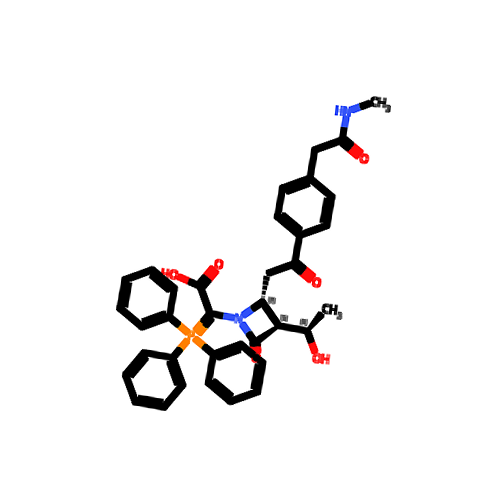 CNC(=O)Cc1ccc(C(=O)C[C@@H]2[C@@H]([C@@H](C)O)C(=O)N2C(C(=O)O)=P(c2ccccc2)(c2ccccc2)c2ccccc2)cc1